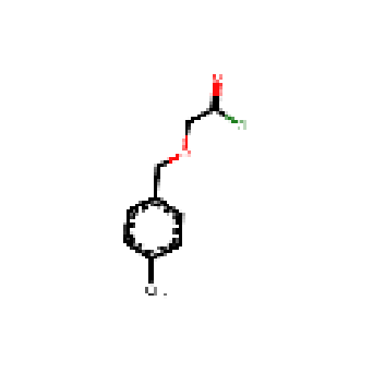 Cc1ccc(COCC(=O)Cl)cc1